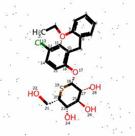 CCOc1ccccc1Cc1cc(Cl)ccc1O[C@H]1S[C@@H](CO)[C@@H](O)[C@H](O)[C@H]1O